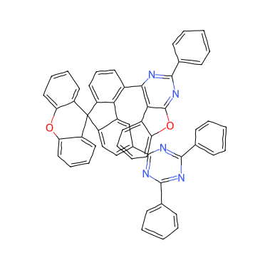 c1ccc(-c2nc(-c3ccccc3)nc(-c3ccc4c(c3)-c3c(-c5nc(-c6ccccc6)nc6oc7ccccc7c56)cccc3C43c4ccccc4Oc4ccccc43)n2)cc1